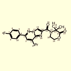 CC(C)c1cc(-c2ccc(F)cc2)nn2cc(C(=O)N3CCOC(=O)C3(C)C)nc12